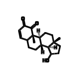 C[C@@]12CCC(O)[C@H]1[C@@H]1CCC3C=CC(=O)C(=O)[C@]3(C)[C@H]1CC2